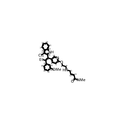 CC/C(=C(/c1ccc(OCCNC/C=C/C(=O)NC)nc1)c1[nH]c2ccccc2c1Cl)c1cccc(OC)c1